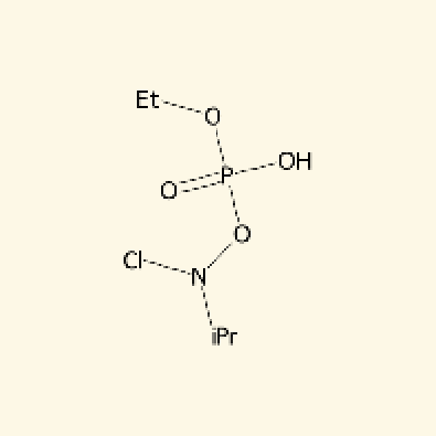 CCOP(=O)(O)ON(Cl)C(C)C